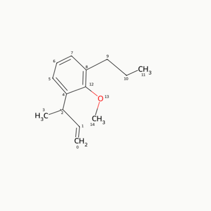 C=C[C](C)c1cccc(CCC)c1OC